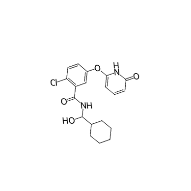 O=C(NC(O)C1CCCCC1)c1cc(Oc2cccc(=O)[nH]2)ccc1Cl